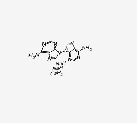 Nc1ncnc2c1ncn2-n1cnc2c(N)ncnc21.[CaH2].[NaH].[NaH]